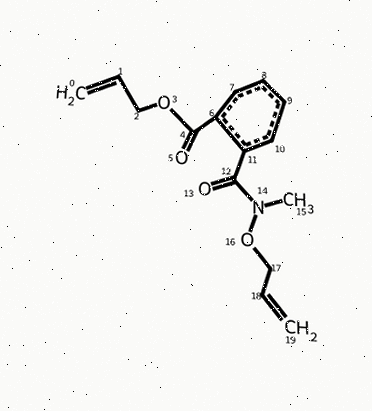 C=CCOC(=O)c1ccccc1C(=O)N(C)OCC=C